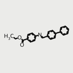 CCOC(=O)c1ccc(N=Cc2ccc(-c3ccccc3)cc2)cc1